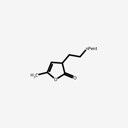 CCCCCCCC1C=C(C)OC1=O